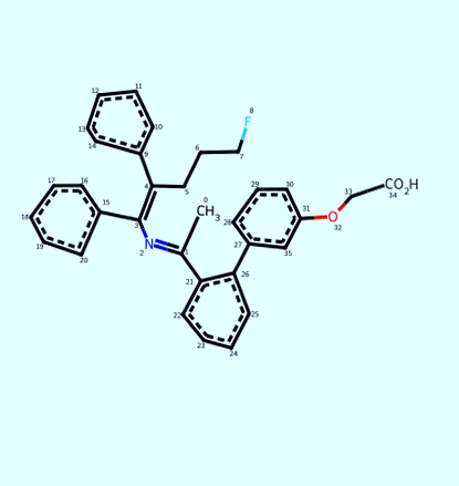 C/C(=N\C(=C(/CCCF)c1ccccc1)c1ccccc1)c1ccccc1-c1cccc(OCC(=O)O)c1